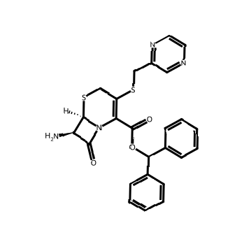 N[C@@H]1C(=O)N2C(C(=O)OC(c3ccccc3)c3ccccc3)=C(SCc3cnccn3)CS[C@H]12